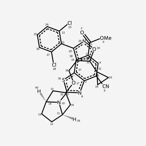 COC(=O)c1cc(C#N)c2nc(N3[C@@H]4CC[C@H]3CC(OCc3c(-c5c(Cl)cccc5Cl)noc3C3CC3)C4)sc2c1